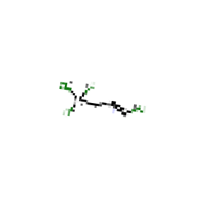 Cl/C=C/C[Si](Cl)(Cl)Cl